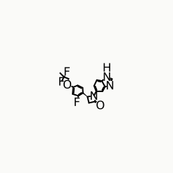 CC(F)(F)COc1ccc([C@@H]2CC(=O)N2c2ccc3[nH]cnc3c2)c(F)c1